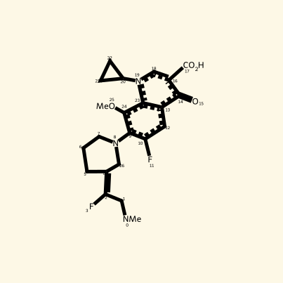 CNC/C(F)=C1/CCCN(c2c(F)cc3c(=O)c(C(=O)O)cn(C4CC4)c3c2OC)C1